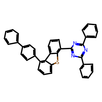 c1ccc(-c2ccc(-c3cccc4sc5c(-c6nc(-c7ccccc7)nc(-c7ccccc7)n6)cccc5c34)cc2)cc1